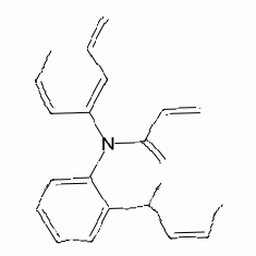 C=C/C=C(\C=C/C)N(C(=C)C=C)c1ccccc1C(C)/C=C\C